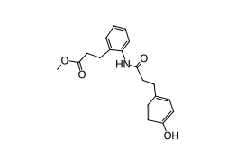 COC(=O)CCc1ccccc1NC(=O)CCc1ccc(O)cc1